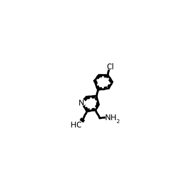 C#Cc1ncc(-c2ccc(Cl)cc2)cc1CN